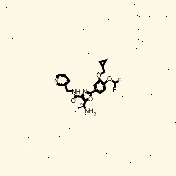 C[C@H](N)c1oc(-c2ccc(OC(F)F)c(OCC3CC3)c2)nc1C(=O)NCc1cccnc1